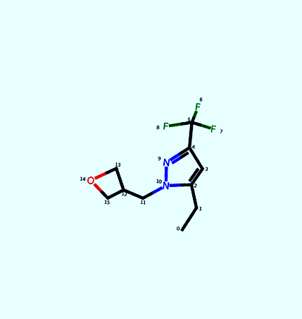 CCc1cc(C(F)(F)F)nn1CC1COC1